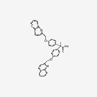 CC(C(O)=S)(c1ccc(OCc2ccc3ccccc3n2)cc1)c1ccc(OCc2ccc3ccccc3n2)cc1